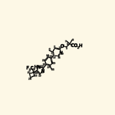 Cc1cc(OCC(C)(C)C(=O)O)ncc1-c1ccc(-c2ncc(C3(C(F)(F)F)CCC3)[nH]2)c(C)c1